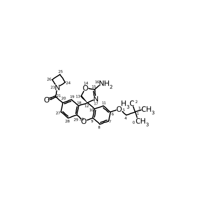 CC(C)(C)COc1ccc2c(c1)[C@]1(COC(N)=N1)c1cc(C(=O)N3CCC3)ccc1O2